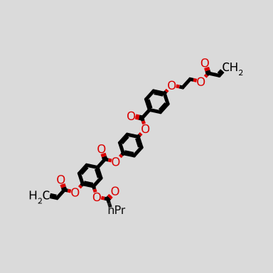 C=CC(=O)OCCOc1ccc(C(=O)Oc2ccc(OC(=O)c3ccc(OC(=O)C=C)c(OC(=O)CCC)c3)cc2)cc1